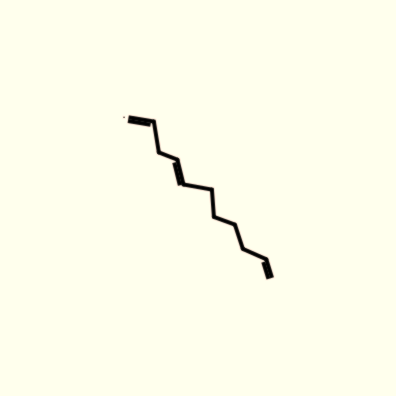 [CH]=CCC=CCCCCC=C